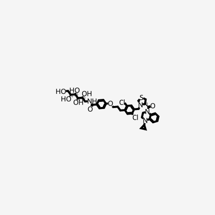 O=C(NC[C@H](O)[C@@H](O)[C@H](O)[C@H](O)CO)c1ccc(OCCCc2cc(Cl)c(CN3CSC[C@H]3C(=O)N3CCN(C4CC4)c4ccccc43)cc2Cl)cc1